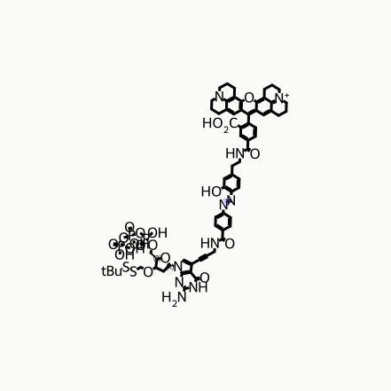 CC(C)(C)SSCOC1C[C@H](n2cc(C#CCNC(=O)c3ccc(/N=N/c4ccc(CCNC(=O)c5ccc(C6=c7cc8c9c(c7Oc7c6cc6c%10c7CCCN%10CCC6)CCC[N+]=9CCC8)c(C(=O)O)c5)cc4O)cc3)c3c(=O)[nH]c(N)nc32)O[C@@H]1COP(=O)(O)OP(=O)(O)OP(=O)(O)O